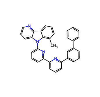 Cc1cccc2c3ncccc3n(-c3cccc(-c4cccc(-c5cccc(-c6ccccc6)c5)n4)n3)c12